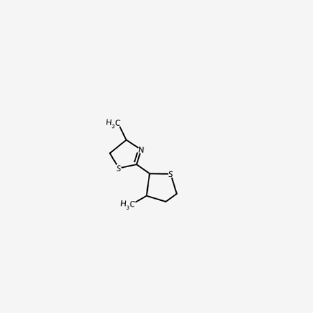 CC1CSC(C2SCCC2C)=N1